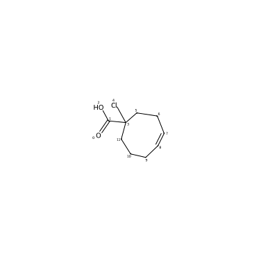 O=C(O)C1(Cl)CCC=CCCC1